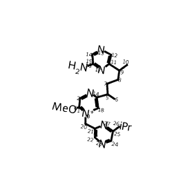 COc1cnc(C(C)CCC(C)c2cncc(N)n2)c[n+]1Cc1cncc(C(C)C)n1